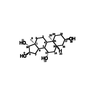 C[C@]12CCC3C(C1C[C@@H](O)[C@@H]2O)[C@@H](O)C[C@H]1C[C@H](O)CC[C@]31C